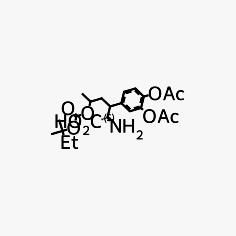 CCC(C)(C)OC(=O)OC(C)CC(c1ccc(OC(C)=O)c(OC(C)=O)c1)[C@H](N)C(=O)O